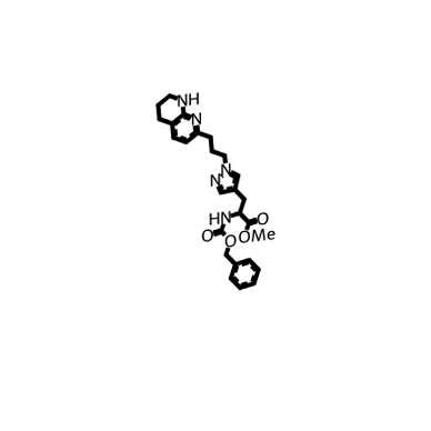 COC(=O)C(Cc1cnn(CCCc2ccc3c(n2)NCCC3)c1)NC(=O)OCc1ccccc1